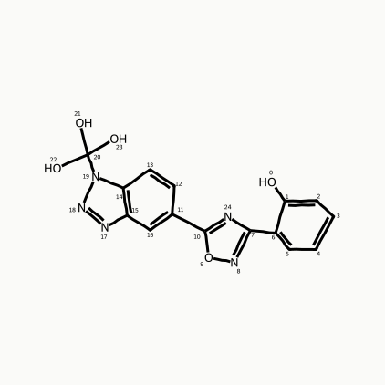 Oc1ccccc1-c1noc(-c2ccc3c(c2)nnn3C(O)(O)O)n1